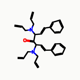 C=CCN(CC=C)C(C=Cc1ccccc1)C(=O)C(C=Cc1ccccc1)N(CC=C)CC=C